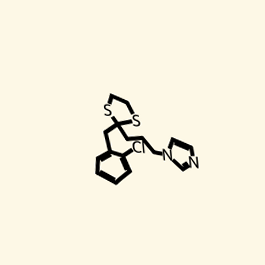 Clc1ccccc1CC1(CCCn2ccnc2)SCCS1